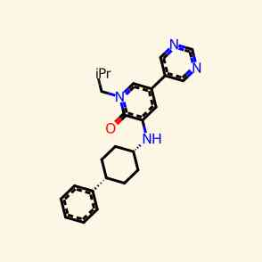 CC(C)Cn1cc(-c2cncnc2)cc(N[C@H]2CC[C@@H](c3ccccc3)CC2)c1=O